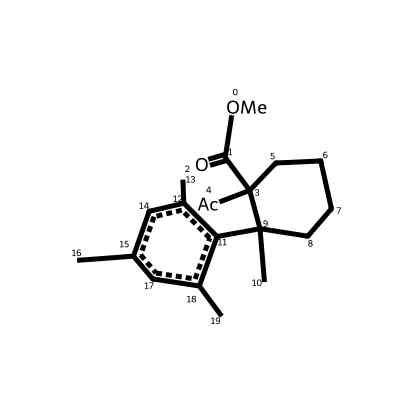 COC(=O)C1(C(C)=O)CCCCC1(C)c1c(C)cc(C)cc1C